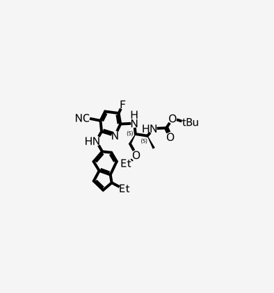 CCOC[C@@H](Nc1nc(Nc2ccc3c(c2)C=CC3CC)c(C#N)cc1F)[C@H](C)NC(=O)OC(C)(C)C